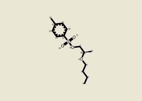 CCCCO[C@H](C)COS(=O)(=O)c1ccc(C)cc1